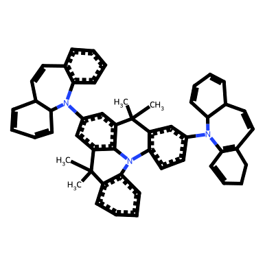 CC1(C)c2ccccc2N2c3ccc(N4C5=C(C=CC6C=CC=CC64)CCC=C5)cc3C(C)(C)c3cc(N4c5ccccc5C=CC5C=CC=CC54)cc1c32